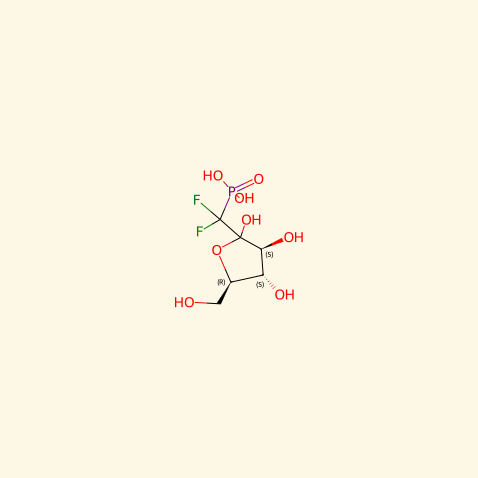 O=P(O)(O)C(F)(F)C1(O)O[C@H](CO)[C@@H](O)[C@@H]1O